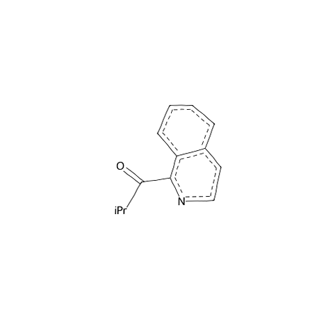 CC(C)C(=O)c1nccc2ccccc12